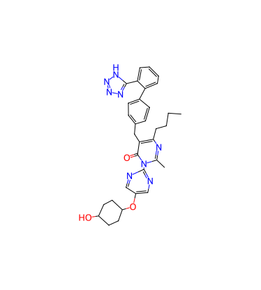 CCCCc1nc(C)n(-c2ncc(OC3CCC(O)CC3)cn2)c(=O)c1Cc1ccc(-c2ccccc2-c2nnn[nH]2)cc1